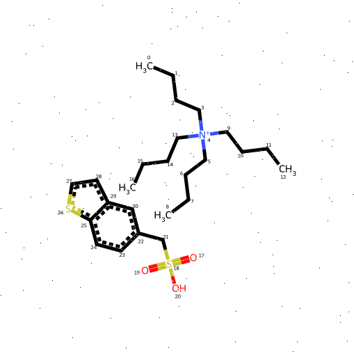 CCCC[N+](CCCC)(CCCC)CCCC.O=S(=O)(O)Cc1ccc2sccc2c1